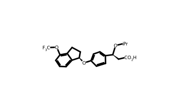 CC(C)O[C@@H](CC(=O)O)c1ccc(O[C@@H]2CCc3c(OC(F)(F)F)cccc32)cc1